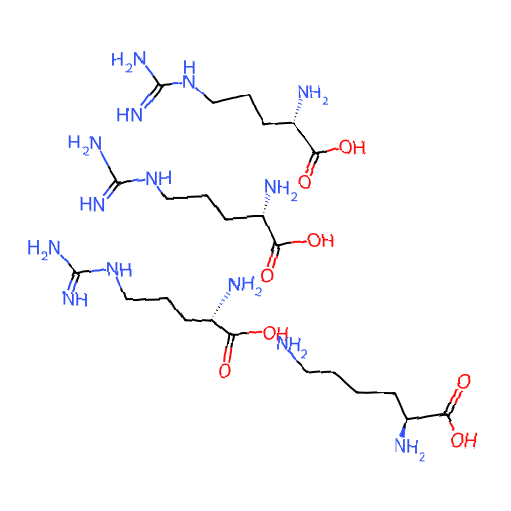 N=C(N)NCCC[C@H](N)C(=O)O.N=C(N)NCCC[C@H](N)C(=O)O.N=C(N)NCCC[C@H](N)C(=O)O.NCCCC[C@H](N)C(=O)O